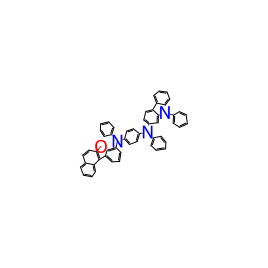 c1ccc(N(c2ccc(N(c3ccccc3)c3cccc4c3oc3ccc5ccccc5c34)cc2)c2ccc3c4ccccc4n(-c4ccccc4)c3c2)cc1